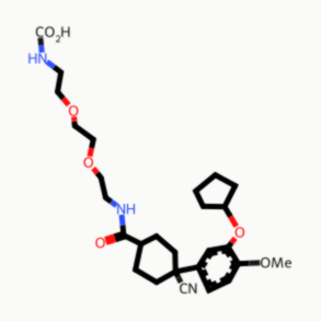 COc1ccc(C2(C#N)CCC(C(=O)NCCOCCOCCNC(=O)O)CC2)cc1OC1CCCC1